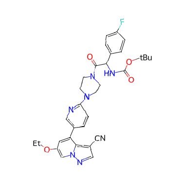 CCOc1cc(-c2ccc(N3CCN(C(=O)C(NC(=O)OC(C)(C)C)c4ccc(F)cc4)CC3)nc2)c2c(C#N)cnn2c1